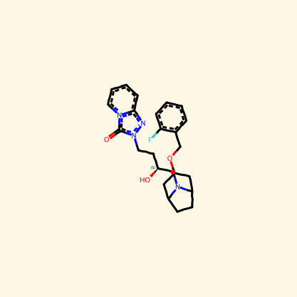 O=c1n(CC[C@H](O)CN2C3CCC2CC(OCc2ccccc2F)C3)nc2ccccn12